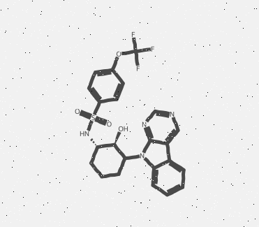 O=S(=O)(N[C@H]1CCCC(n2c3ccccc3c3cncnc32)[C@@H]1O)c1ccc(OC(F)(F)F)cc1